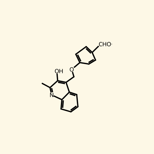 Cc1nc2ccccc2c(COc2ccc([C]=O)cc2)c1O